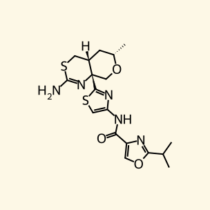 CC(C)c1nc(C(=O)Nc2csc([C@]34CO[C@@H](C)C[C@H]3CSC(N)=N4)n2)co1